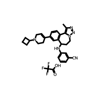 Cc1nnn2c1-c1ccc(C3=CCN(C4CCC4)CC3)cc1C(Nc1cccc(C#N)c1)CC2.O=C(O)C(F)(F)F